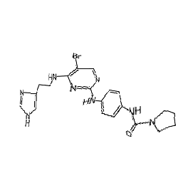 O=C(Nc1ccc(Nc2ncc(Br)c(NCCc3c[nH]cn3)n2)cc1)N1CCCC1